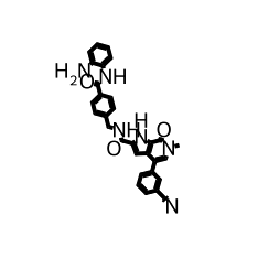 Cn1cc(-c2cccc(C#N)c2)c2cc(C(=O)NCc3ccc(C(=O)Nc4ccccc4N)cc3)[nH]c2c1=O